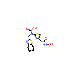 O=C(Cc1csc(N(Cc2nc3ccccc3s2)C(=O)O)n1)NO